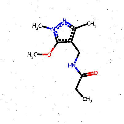 CCC(=O)NCc1c(C)nn(C)c1OC